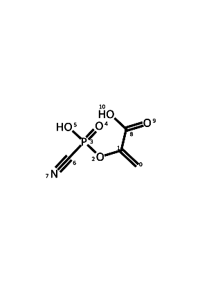 C=C(OP(=O)(O)C#N)C(=O)O